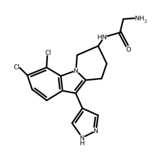 NCC(=O)NC1CCc2c(-c3cn[nH]c3)c3ccc(Cl)c(Cl)c3n2C1